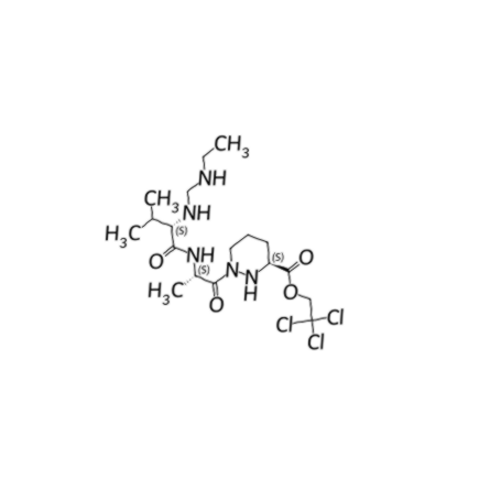 CCNCN[C@H](C(=O)N[C@@H](C)C(=O)N1CCC[C@@H](C(=O)OCC(Cl)(Cl)Cl)N1)C(C)C